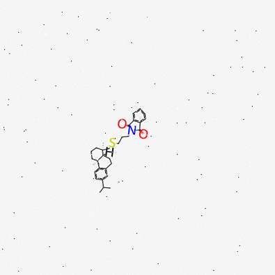 CC(C)c1ccc2c(c1)CC[C@H]1[C@](C)(CSCCCN3C(=O)c4ccccc4C3=O)CCC[C@]21C